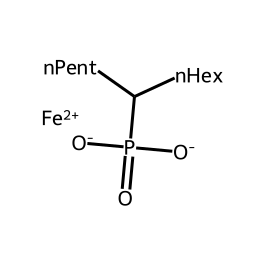 CCCCCCC(CCCCC)P(=O)([O-])[O-].[Fe+2]